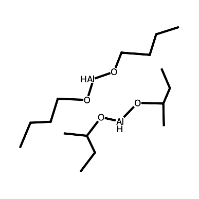 CCC(C)[O][AlH][O]C(C)CC.CCCC[O][AlH][O]CCCC